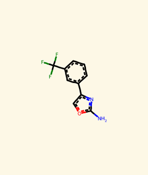 Nc1nc(-c2cccc(C(F)(F)F)c2)co1